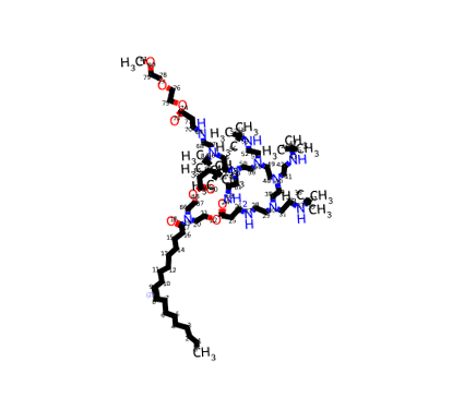 CCCCCCCC/C=C\CCCCCCCC(=O)N(CCOC(=O)CCNCCN(CCNC(C)(C)C)CCN(CCNC(C)(C)C)CCN(CCNC(C)(C)C)CCN(CCN)CCN(CCNCCC(=O)OCCOCCOC)C(C)(C)C)CCOC(=O)CCC(C)(C)C